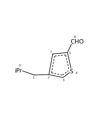 CC(C)Cc1csc(C=O)c1